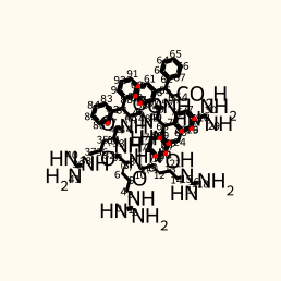 N=C(N)NCCC[C@H](NC(=O)[C@H](CCCNC(=N)N)NC(=O)[C@@H](N)CCCNC(=N)N)C(=O)N[C@@H](CCCNC(=N)N)C(=O)N[C@H](C(=O)N[C@H](C(=O)N[C@H](C(=O)O)C(c1ccccc1)c1ccccc1)C(c1ccccc1)c1ccccc1)C(c1ccccc1)c1ccccc1